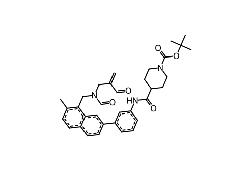 C=C(C=O)CN(C=O)Cc1c(C)ccc2ccc(-c3cccc(NC(=O)C4CCN(C(=O)OC(C)(C)C)CC4)c3)cc12